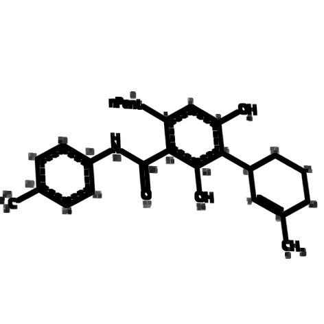 CCCCCc1cc(O)c(C2C=C(C)CCC2)c(O)c1C(=O)Nc1ccc(C(F)(F)F)cc1